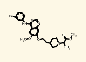 COC(=O)C(C)N1CCC(CCOc2cc3ncnc(Nc4cccc(Br)c4)c3cc2OC)CC1